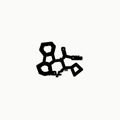 COC(=O)N(C1c2ccccc2-c2ccccc21)[C@H](C(=O)O)C1CCC1